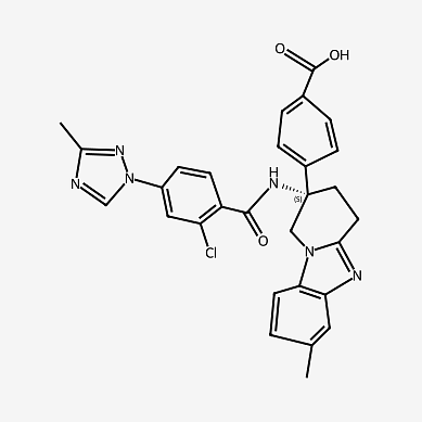 Cc1ccc2c(c1)nc1n2C[C@@](NC(=O)c2ccc(-n3cnc(C)n3)cc2Cl)(c2ccc(C(=O)O)cc2)CC1